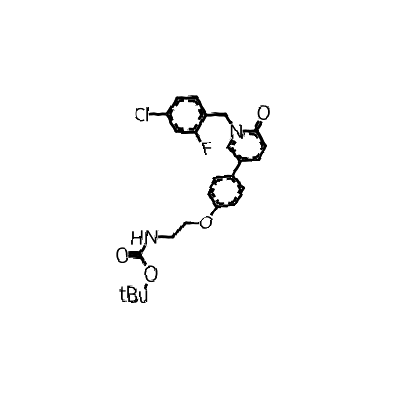 CC(C)(C)OC(=O)NCCOc1ccc(-c2ccc(=O)n(Cc3ccc(Cl)cc3F)c2)cc1